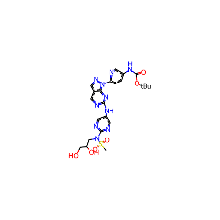 CC(C)(C)OC(=O)Nc1ccc(-n2ncc3cnc(Nc4cnc(N(CC(O)CO)S(C)(=O)=O)nc4)nc32)nc1